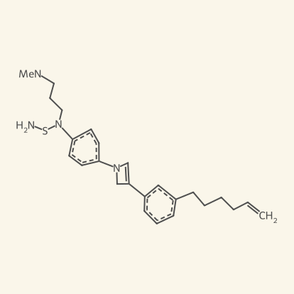 C=CCCCCc1cccc(C2=CN(c3ccc(N(CCCNC)SN)cc3)C2)c1